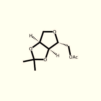 CC(=O)OC[C@H]1OC[C@@H]2OC(C)(C)O[C@@H]21